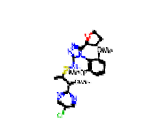 COc1cccc(OC)c1-n1c(NSC(C)C(OC)c2ncc(Cl)cn2)nnc1C1CCCO1